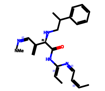 C=C(/C=N\NC)[C@@H](NCC(C)c1ccccc1)C(=O)NC(=C/C)/N=C\C=C/C